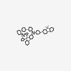 CC1(C)c2ccccc2-c2ccc(-c3ccc(N(c4cccc(-c5ccccc5)c4)c4ccc5c(c4)C4(c6ccccc6-5)c5ccccc5N(c5ccccc5)c5ccccc54)cc3)cc21